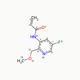 C=CC(=O)Nc1cc(F)cnc1COC